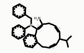 CC(C)C1/C=C\C/C(N)=C(/N(Cc2ccccc2)c2ccccc2)c2ccccc2C/C=C\1